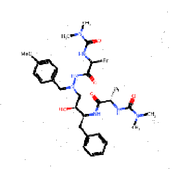 COc1ccc(CN(C[C@H](O)[C@H](Cc2ccccc2)NC(=O)[C@@H](NC(=O)N(C)C)C(C)C)NC(=O)[C@@H](NC(=O)N(C)C)C(C)C)cc1